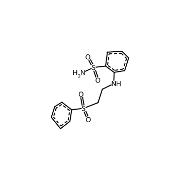 NS(=O)(=O)c1ccccc1NCCS(=O)(=O)c1ccccc1